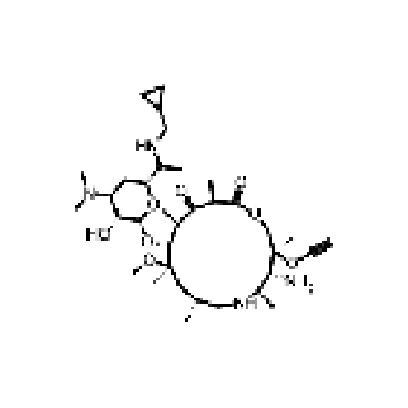 C#CO[C@]1(C)COC(=O)C(C)C(=O)[C@H](C)[C@@H](O[C@@H]2O[C@H](C(C)NCC3CC3)C[C@H](N(C)C)[C@H]2O)[C@](C)(OC)C[C@@H](C)CN[C@H](C)[C@H]1N